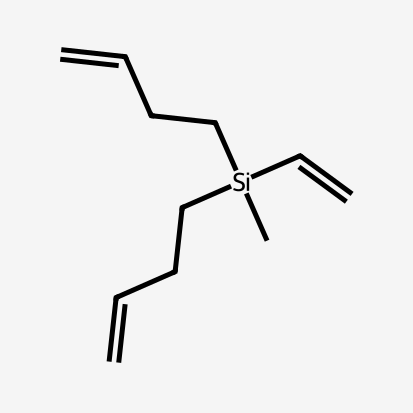 C=CCC[Si](C)(C=C)CCC=C